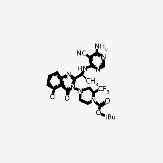 C[C@H](Nc1ncnc(N)c1C#N)c1nc2cccc(Cl)c2c(=O)n1N1CCN(C(=O)OC(C)(C)C)C(C(F)(F)F)C1